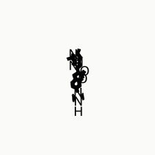 Cc1cn2cc(-c3cc4ccc(N5CCNCC5)cc4oc3=O)nc2c(C)n1